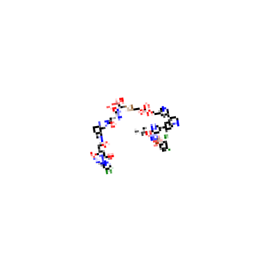 COc1ncc(-c2ccc3nccc(-c4cncc(CCOC(=O)OCCSSCC(NC(=O)CCC(=O)NCc5cccc6c5CN(C(=O)CC5CC(C(=O)N7CC(F)(F)C[C@H]7C#N)NC5=O)C6)C(O)O)c4)c3c2)cc1NS(=O)(=O)c1ccc(F)cc1F